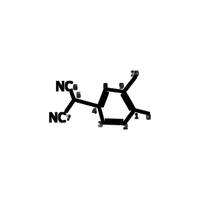 Cc1ccc(C(C#N)C#N)cc1C